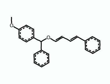 COc1ccc(C(OC=CC=Cc2ccccc2)c2ccccc2)cc1